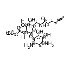 C#CCCCC(=O)NCC1O[C@H](O[C@@H]2C(N)C[C@@H](N)C(O)C2O)C(NC(=O)OC(C)(C)C)C(O)[C@@H]1O